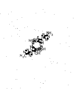 Cc1ncnc2c1ncn2[C@@H]1O[C@@H]2CO[P@](=O)(S)O[C@H]3[C@@H](F)[C@H](n4cnc5c(N)ncnc54)O[C@@H]3CO[P@@](=O)(S)O[C@H]2[C@H]1O